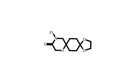 CCN1CC2(CCC3(CC2)OCCO3)OCC1=O